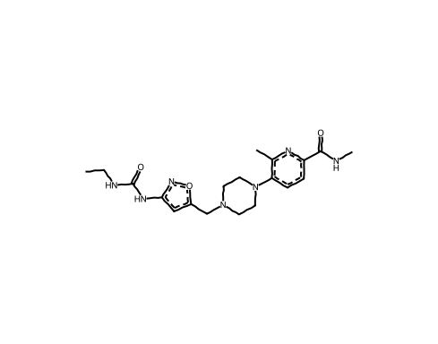 CCNC(=O)Nc1cc(CN2CCN(c3ccc(C(=O)NC)nc3C)CC2)on1